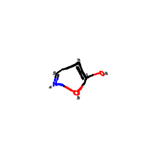 [O]c1ccno1